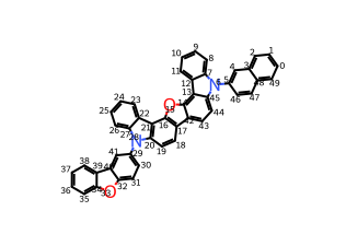 c1ccc2cc(-n3c4ccccc4c4c5oc6c(ccc7c6c6ccccc6n7-c6ccc7oc8ccccc8c7c6)c5ccc43)ccc2c1